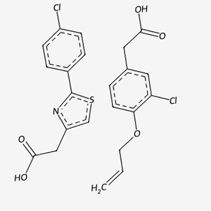 C=CCOc1ccc(CC(=O)O)cc1Cl.O=C(O)Cc1csc(-c2ccc(Cl)cc2)n1